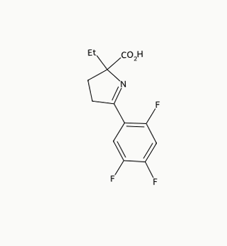 CCC1(C(=O)O)CCC(c2cc(F)c(F)cc2F)=N1